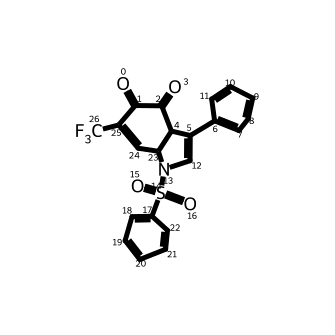 O=C1C(=O)C2C(c3ccccc3)=CN(S(=O)(=O)c3ccccc3)C2C=C1C(F)(F)F